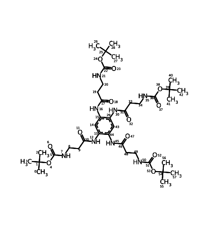 CC(C)(C)OC(=O)NCCC(=O)Nc1cc(NC(=O)CCNC(=O)OC(C)(C)C)c(NC(=O)CCNC(=O)OC(C)(C)C)cc1NC(=O)CCNC(=O)OC(C)(C)C